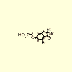 CCC1(Br)Cc2cc(OCC(=O)O)cc(Br)c2C1=O